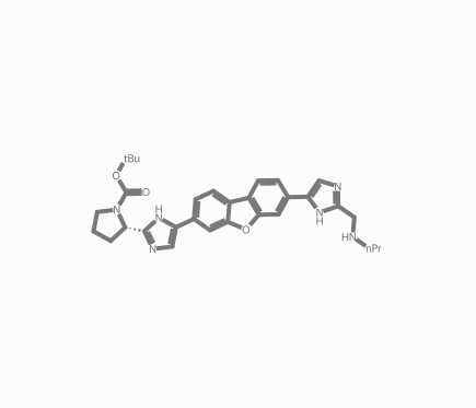 CCCNCc1ncc(-c2ccc3c(c2)oc2cc(-c4cnc([C@@H]5CCCN5C(=O)OC(C)(C)C)[nH]4)ccc23)[nH]1